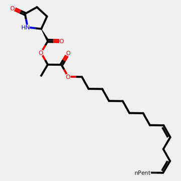 CCCCC/C=C\C/C=C\CCCCCCCCOC(=O)C(C)OC(=O)[C@@H]1CCC(=O)N1